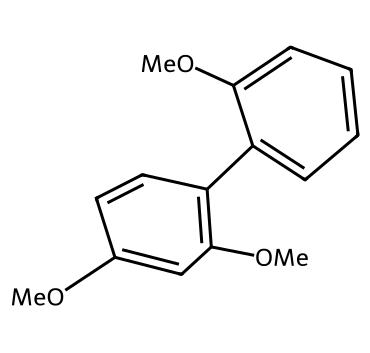 COc1ccc(-c2ccccc2OC)c(OC)c1